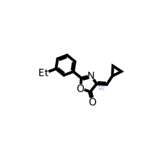 CCc1cccc(C2=N/C(=C\C3CC3)C(=O)O2)c1